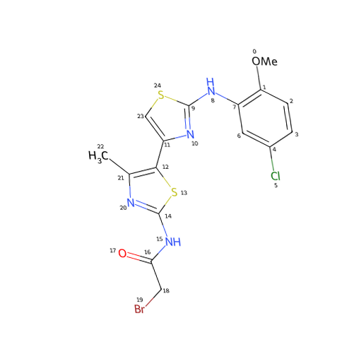 COc1ccc(Cl)cc1Nc1nc(-c2sc(NC(=O)CBr)nc2C)cs1